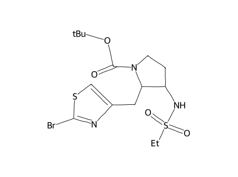 CCS(=O)(=O)NC1CCN(C(=O)OC(C)(C)C)C1Cc1csc(Br)n1